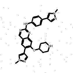 Cn1cc(-c2ccc(Nc3ncc4cc(-c5cnn(C)c5)c(OC5CCNCC5)cc4n3)cc2)cn1